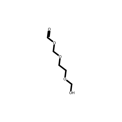 O=COCOCCOCO